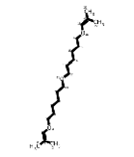 CC(C)=COCCCCCCOCCCCCCOC=C(C)C